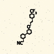 N#CCc1cccc(-c2cccc(OCC=Cc3ccc(C(F)(F)F)cc3)c2)c1